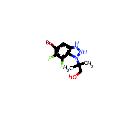 CC(C)(CO)N1NNc2cc(Br)c(F)c(F)c21